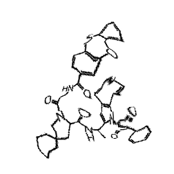 C[C@@H](NC(=O)C1CC2(CCCCC2)CN1C(=O)CNC(=O)c1ccc2c(c1)Oc1ccccc1S2)c1cc2cnccc2n1S(=O)(=O)c1ccccc1